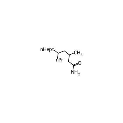 CCCCCCCC(CCC)CC(C)CC(N)=O